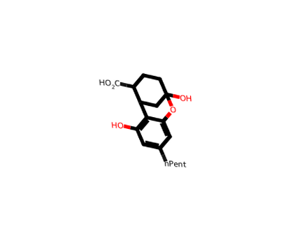 CCCCCc1cc(O)c2c(c1)OC1(O)CCC(C(=O)O)C2C1